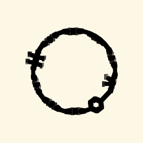 Fc1c2ccc(c1F)-c1ccc(cc1)-c1ccc(cc1)-c1ccc(cc1)-c1ccc(cc1)-c1c(F)c(F)c(c(F)c1F)-c1ccc(cc1)-c1ccc(cc1)C1=CC=C(CC1)c1ccc-2cc1